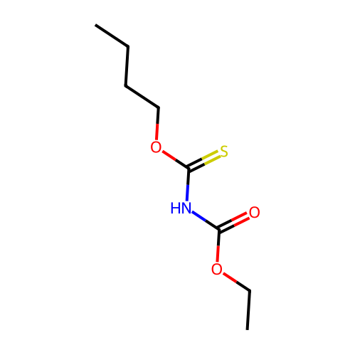 CCCCOC(=S)NC(=O)OCC